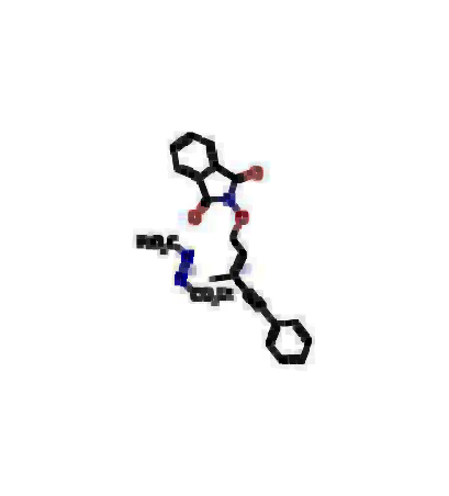 C/C(C#Cc1ccccc1)=C\CON1C(=O)c2ccccc2C1=O.CCOC(=O)/N=N/C(=O)OCC